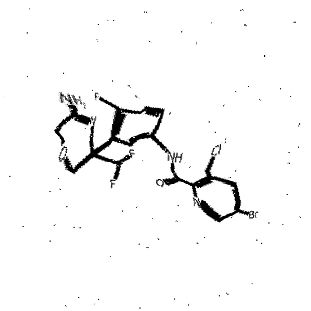 NC1=NC(c2cc(NC(=O)c3ncc(Br)cc3Cl)ccc2F)(C(F)F)COC1